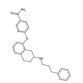 NC(=O)c1ccc(Oc2cccc3c2CC(NCCCc2ccccc2)CC3)nc1